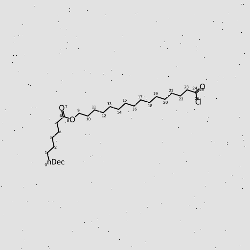 CCCCCCCCCCCCCCCC(=O)OCCCCCCCCCCCCCCCC(=O)Cl